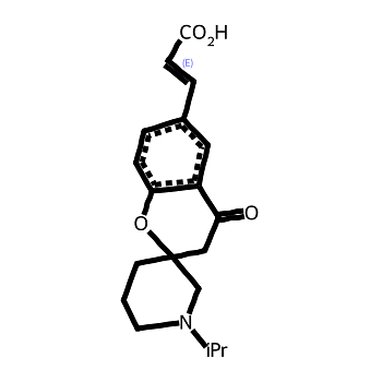 CC(C)N1CCCC2(CC(=O)c3cc(/C=C/C(=O)O)ccc3O2)C1